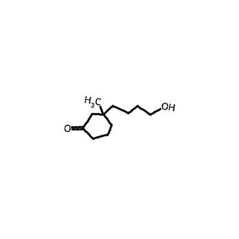 CC1(CCCCO)CCCC(=O)C1